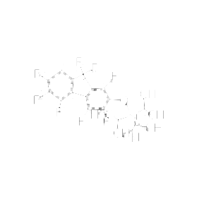 CC(C)[Si](Oc1c(F)c(F)c2c(c1F)C(F)(F)c1[c]c(F)c(F)c(F)c1-2)(C(C)C)C(C)C